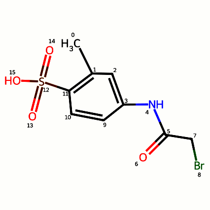 Cc1cc(NC(=O)CBr)ccc1S(=O)(=O)O